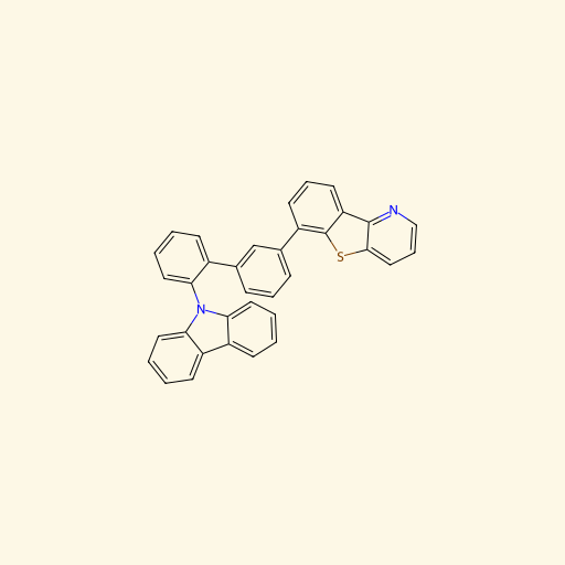 c1cc(-c2ccccc2-n2c3ccccc3c3ccccc32)cc(-c2cccc3c2sc2cccnc23)c1